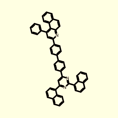 c1ccc(-c2cc(-c3ccc(-c4ccc(-c5cc(-c6cccc7ccccc67)nc(-c6cccc7ccccc67)n5)cc4)cc3)nc3ccc4ccccc4c23)cc1